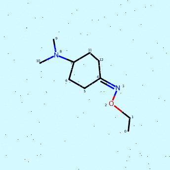 CCON=C1CCC(N(C)C)CC1